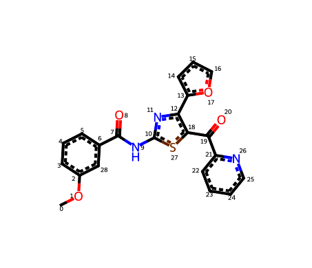 COc1cccc(C(=O)Nc2nc(-c3ccco3)c(C(=O)c3ccccn3)s2)c1